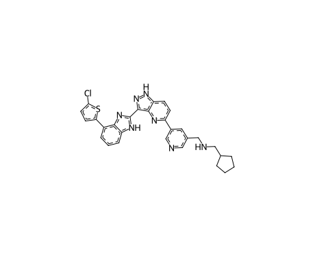 Clc1ccc(-c2cccc3[nH]c(-c4n[nH]c5ccc(-c6cncc(CNCC7CCCC7)c6)nc45)nc23)s1